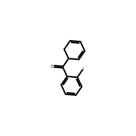 O=C(c1ccccc1I)C1C=CC=CC1